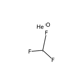 F[C](F)F.[He].[O]